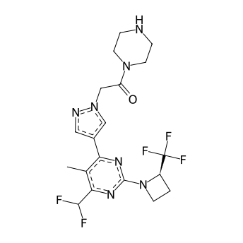 Cc1c(-c2cnn(CC(=O)N3CCNCC3)c2)nc(N2CC[C@@H]2C(F)(F)F)nc1C(F)F